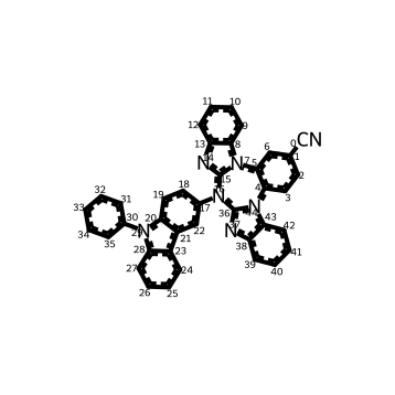 N#Cc1ccc2c(c1)n1c3ccccc3nc1n(-c1ccc3c(c1)c1ccccc1n3-c1ccccc1)c1nc3ccccc3n21